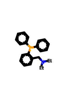 CCN(CC)Cc1ccccc1P(c1ccccc1)c1ccccc1